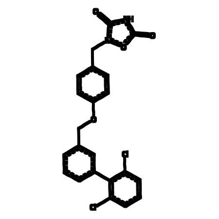 O=c1[nH]c(=O)n(Cc2ccc(OCc3cccc(-c4c(Cl)cccc4Cl)c3)cc2)o1